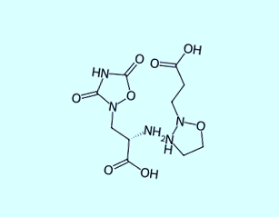 N[C@@H](Cn1oc(=O)[nH]c1=O)C(=O)O.O=C(O)CCN1NCCO1